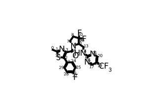 Cc1nc(C(=O)N2CCC(F)(F)C2CNc2ncc(C(F)(F)F)cn2)c(-c2ccc(F)cc2)s1